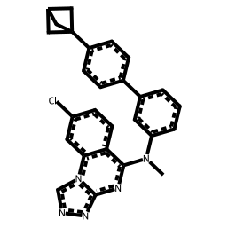 CN(c1cccc(-c2ccc(C34CC(C3)C4)cc2)c1)c1nc2nncn2c2cc(Cl)ccc12